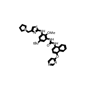 COc1c(NC(=O)Nc2ccc(Oc3ccncn3)c3ccccc23)cc(C(C)(C)C)cc1Nc1nc(CN2CCCC2)cs1